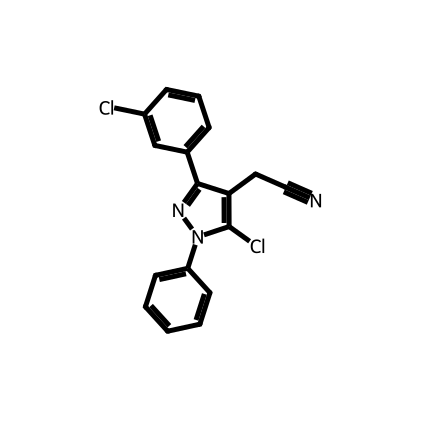 N#CCc1c(-c2cccc(Cl)c2)nn(-c2ccccc2)c1Cl